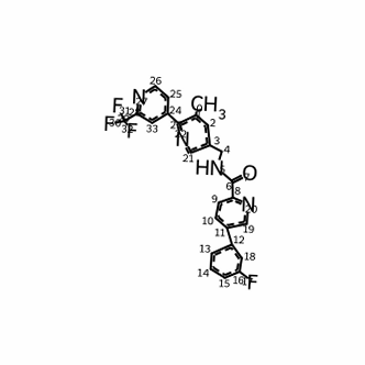 Cc1cc(CNC(=O)c2ccc(-c3cccc(F)c3)cn2)cnc1-c1ccnc(C(F)(F)F)c1